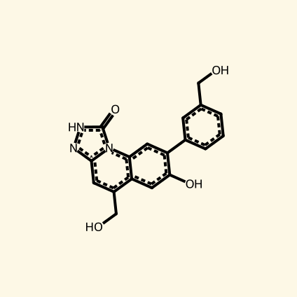 O=c1[nH]nc2cc(CO)c3cc(O)c(-c4cccc(CO)c4)cc3n12